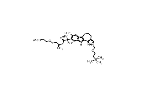 C=C(CCOCCOC)CC(=O)C(CCC)(CCC)c1cc2[nH]c3c(c2cc1C)CCCc1cn(COCC[Si](C)(C)C)nc1-3